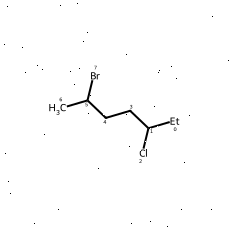 CCC(Cl)CCC(C)Br